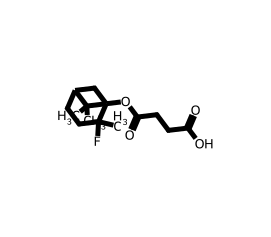 CC1(F)CCC2CC1(OC(=O)CCC(=O)O)C2(C)C